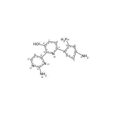 Nc1ccc(-c2ccc(O)c(-c3ccnc(N)n3)n2)c(P)c1